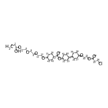 C=CC(O)OCCOCCOCCOc1ccc(C(=O)Oc2ccc(-c3ccc(OCCOC(=O)CCCl)cc3)cc2)cc1